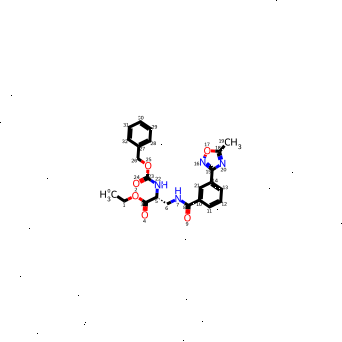 CCOC(=O)[C@@H](CNC(=O)c1cccc(-c2noc(C)n2)c1)NC(=O)OCc1ccccc1